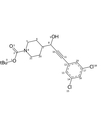 CC(C)(C)OC(=O)N1CCC(C(O)C#Cc2cc(Cl)cc(Cl)c2)CC1